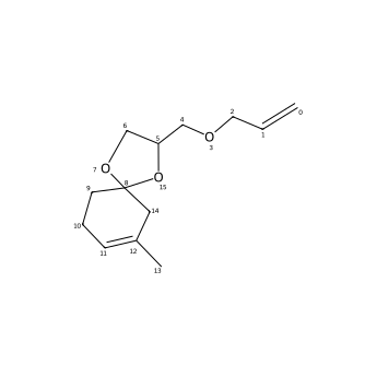 C=CCOCC1COC2(CCC=C(C)C2)O1